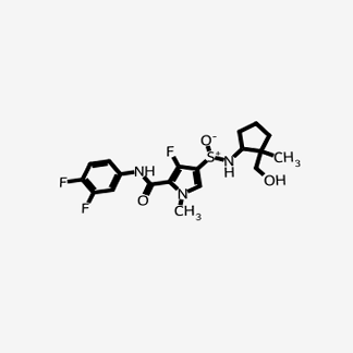 Cn1cc([S+]([O-])NC2CCCC2(C)CO)c(F)c1C(=O)Nc1ccc(F)c(F)c1